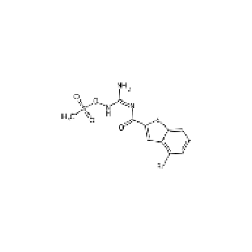 CS(=O)(=O)ONC(N)=NC(=O)c1cc2c(Br)cccc2s1